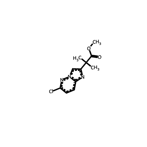 COC(=O)C(C)(C)c1cn2nc(Cl)ccc2n1